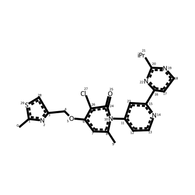 Cc1nc(COc2cc(C)n(-c3ccnc(-c4ccnc(C(C)C)n4)c3)c(=O)c2Cl)cs1